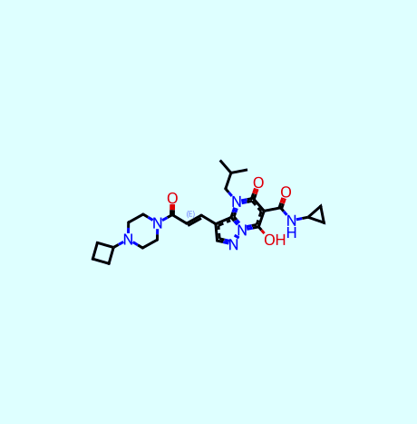 CC(C)Cn1c(=O)c(C(=O)NC2CC2)c(O)n2ncc(/C=C/C(=O)N3CCN(C4CCC4)CC3)c12